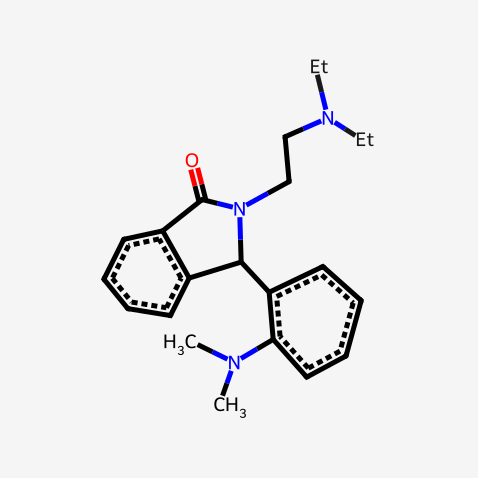 CCN(CC)CCN1C(=O)c2ccccc2C1c1ccccc1N(C)C